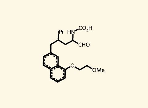 COCCOc1cccc2ccc(CC(CC(C=O)NC(=O)O)C(C)C)cc12